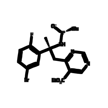 CCOC(=O)c1cncnc1C[C@](C)(N[S@+]([O-])C(C)(C)C)c1cc(Br)ccc1F